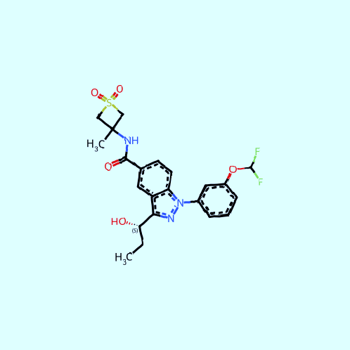 CC[C@H](O)c1nn(-c2cccc(OC(F)F)c2)c2ccc(C(=O)NC3(C)CS(=O)(=O)C3)cc12